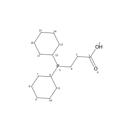 O=C(O)CCP(C1CCCCC1)C1CCCCC1